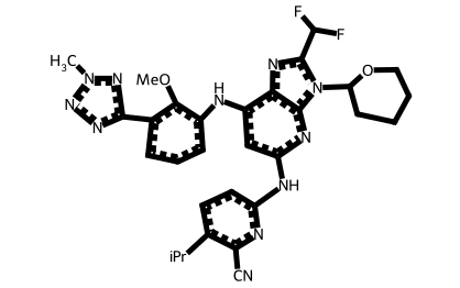 COc1c(Nc2cc(Nc3ccc(C(C)C)c(C#N)n3)nc3c2nc(C(F)F)n3C2CCCCO2)cccc1-c1nnn(C)n1